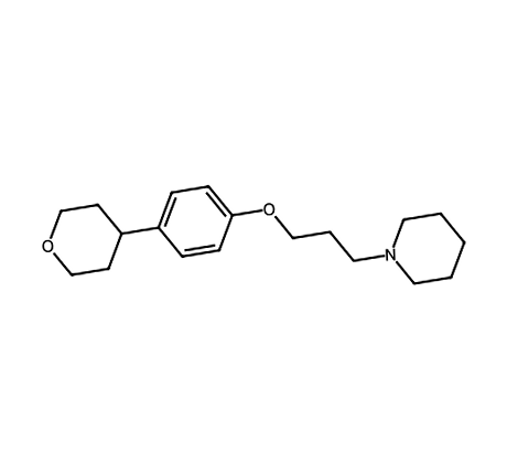 c1cc(C2CCOCC2)ccc1OCCCN1CCCCC1